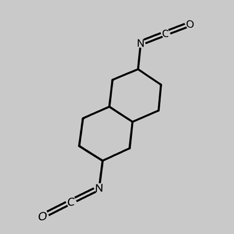 O=C=NC1CCC2CC(N=C=O)CCC2C1